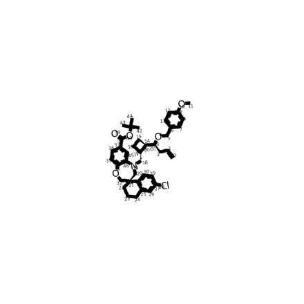 C=CC[C@H](OCc1ccc(OC)cc1)[C@@H]1CC[C@H]1CN1C[C@@]2(CCCc3cc(Cl)ccc32)COc2ccc(C(=O)OC(C)(C)C)cc21